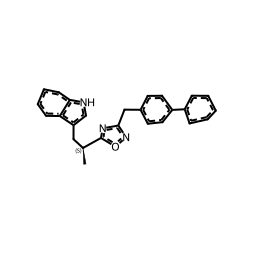 C[C@@H](Cc1c[nH]c2ccccc12)c1nc(Cc2ccc(-c3ccccc3)cc2)no1